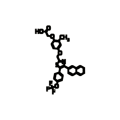 Cc1cc(OCc2nc(-c3ccc4ccccc4c3)c(-c3ccc(OC(F)(F)F)cc3)s2)ccc1OCC(=O)O